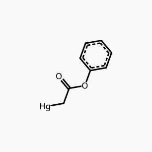 O=C([CH2][Hg])Oc1ccccc1